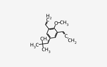 C=C=Cc1cc(CC(C)(C)C)cc(C=C)c1OC